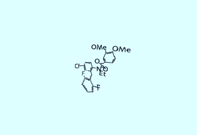 CCN(c1ccc(Cl)cc1Cc1c(F)cccc1F)S(=O)(=O)c1ccc(OC)c(OC)c1